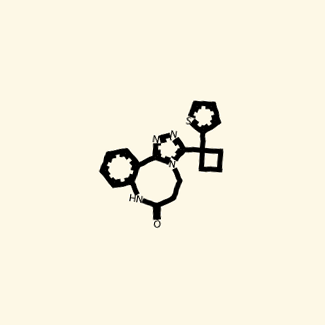 O=C1CCn2c(nnc2C2(c3cccs3)CCC2)-c2ccccc2N1